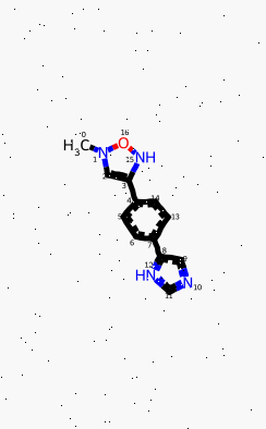 CN1C=C(c2ccc(-c3cnc[nH]3)cc2)NO1